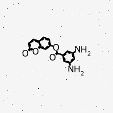 Nc1cc(N)cc(C(=O)Oc2ccc3ccc(=O)oc3c2)c1